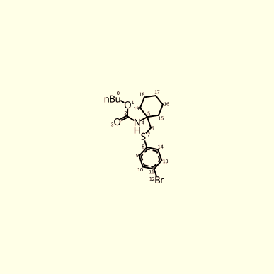 CCCCOC(=O)NC1(CSc2ccc(Br)cc2)CCCCC1